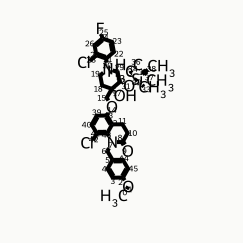 COc1ccc(CN2C(=O)CCc3c(OC[C@@]4(O)CCN(c5ccc(F)cc5Cl)C[C@@H]4O[Si](C)(C)C(C)(C)C)ccc(Cl)c32)cc1